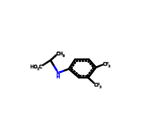 CC(Nc1ccc(C(F)(F)F)c(C(F)(F)F)c1)C(=O)O